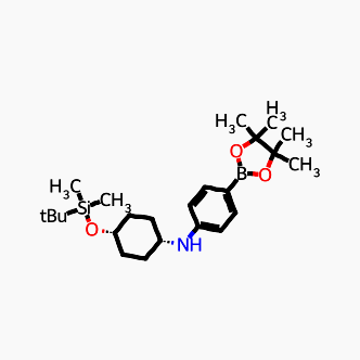 CC1(C)OB(c2ccc(N[C@H]3CC[C@@H](O[Si](C)(C)C(C)(C)C)CC3)cc2)OC1(C)C